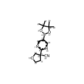 CC1(C)OB(c2cnc([C@]3(C#N)CCOC3)nc2)OC1(C)C